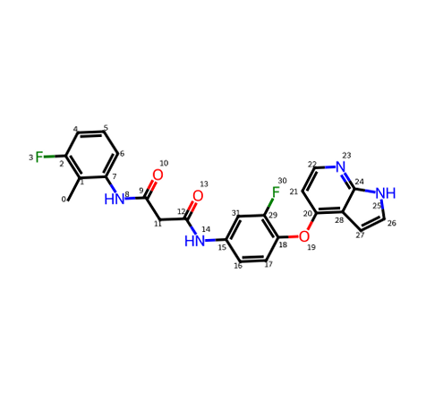 Cc1c(F)cccc1NC(=O)CC(=O)Nc1ccc(Oc2ccnc3[nH]ccc23)c(F)c1